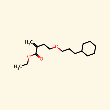 C=C(CCOCCCC1CCCCC1)C(=O)OCC